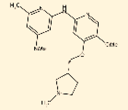 CNc1cc(C)nc(Nc2cc(OC[C@@H]3CCN(C)C3)c(OC)cn2)c1